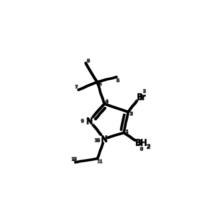 Bc1c(Br)c(C(C)(C)C)nn1CC